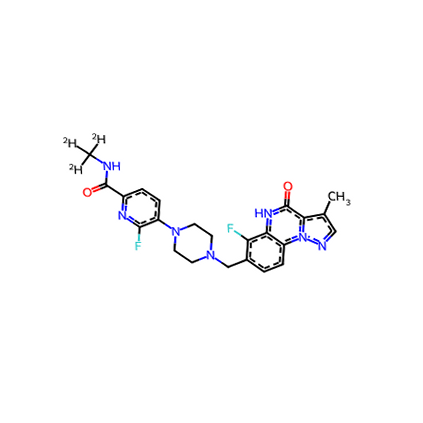 [2H]C([2H])([2H])NC(=O)c1ccc(N2CCN(Cc3ccc4c([nH]c(=O)c5c(C)cnn54)c3F)CC2)c(F)n1